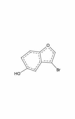 Oc1ccc2occ(Br)c2c1